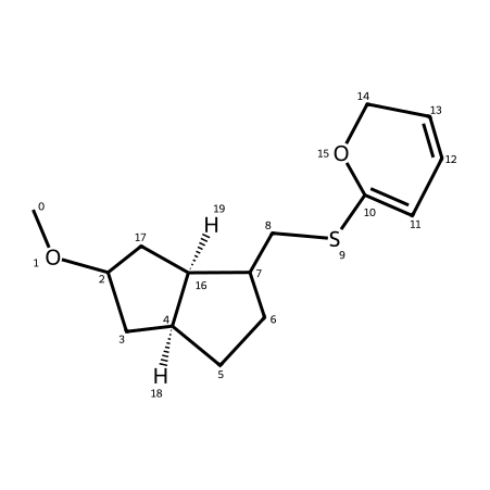 COC1C[C@@H]2CCC(CSC3=CC=CCO3)[C@@H]2C1